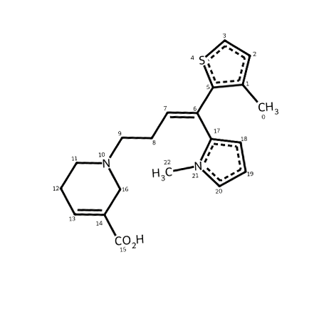 Cc1ccsc1C(=CCCN1CCC=C(C(=O)O)C1)c1cccn1C